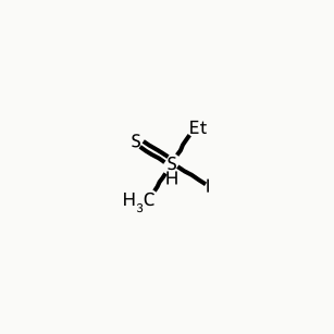 CC[SH](C)(=S)I